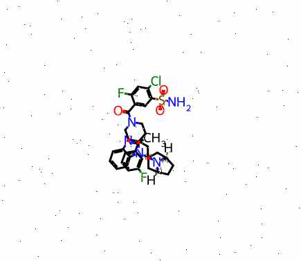 Cc1nc2ccccc2n1[C@H]1C[C@H]2CC[C@@H](C1)N2CCC1(c2cccc(F)c2)CCN(C(=O)c2cc(S(N)(=O)=O)c(Cl)cc2F)CC1